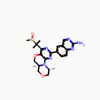 C[C@@H]1COC[C@@]2(C)COc3c(nc(-c4ccc5nc(N)ncc5c4)nc3C(C)(C)[S+](C)[O-])N12